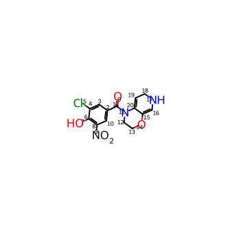 O=C(c1cc(Cl)c(O)c([N+](=O)[O-])c1)N1CCOC2=CNCC=C21